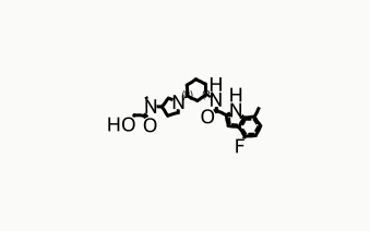 Cc1ccc(F)c2cc(C(=O)N[C@@H]3CCC[C@@H](N4CCC(N(C)C(=O)CO)C4)C3)[nH]c12